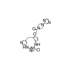 O=C(COc1ccc2cc1CCc1cncc(c1)Nc1ncc(Cl)c(n1)N2)N1CCN(c2cnccn2)CC1